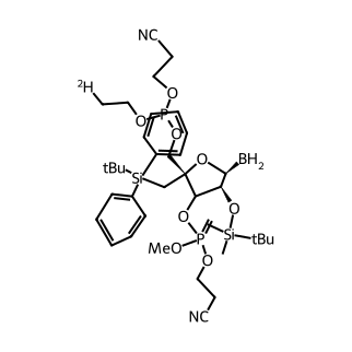 [2H]CCOP(OCCC#N)OC[C@@]1(C[Si](c2ccccc2)(c2ccccc2)C(C)(C)C)O[C@@H](B)[C@@H](O[Si](C)(C)C(C)(C)C)C1OP(=C)(OC)OCCC#N